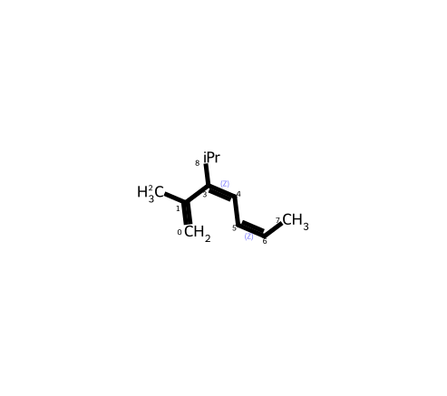 C=C(C)/C(=C\C=C/C)C(C)C